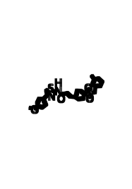 COc1ccc(-c2csc(NC(=O)C=Cc3ccc(S(=O)(=O)Cc4cccc(C)c4)cc3)n2)cc1